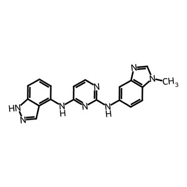 Cn1cnc2cc(Nc3nccc(Nc4cccc5[nH]ncc45)n3)ccc21